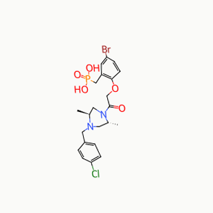 C[C@@H]1CN(Cc2ccc(Cl)cc2)[C@@H](C)CN1C(=O)COc1ccc(Br)cc1CP(=O)(O)O